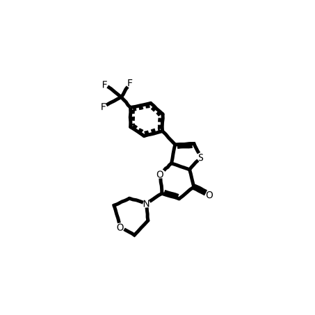 O=C1C=C(N2CCOCC2)OC2C(c3ccc(C(F)(F)F)cc3)=CSC12